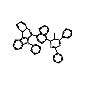 CC1C(c2ccccc2)=NC(c2ccccc2)=NC1c1ccc(C2=NC3C=CC=CC3c3c2n(-c2ccccc2)c2ccccc32)c2ccccc12